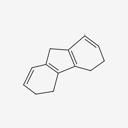 [C]1=CCCC2=C1CC1=C2CCC=C1